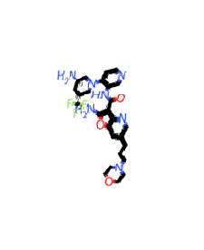 Nc1oc2cc(CCCN3CCOCC3)cnc2c1C(=O)Nc1cnccc1N1C[C@@H](N)C[C@@H](C(F)(F)F)C1